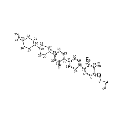 C=CCOc1ccc(-c2ccc(-c3ccc(C4CCC(C5CCC(C=C)CC5)CC4)cc3F)cc2)c(F)c1F